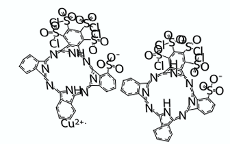 O=S(=O)([O-])c1cccc2c1-c1nc-2nc2[nH]c(nc3nc(nc4[nH]c(n1)c1c(S(=O)(=O)Cl)c(S(=O)(=O)Cl)c(S(=O)(=O)Cl)c(S(=O)(=O)Cl)c41)-c1ccccc1-3)c1ccccc21.O=S(=O)([O-])c1cccc2c1-c1nc-2nc2[nH]c(nc3nc(nc4[nH]c(n1)c1c(S(=O)(=O)Cl)c(S(=O)(=O)Cl)c(S(=O)(=O)Cl)c(S(=O)(=O)Cl)c41)-c1ccccc1-3)c1ccccc21.[Cu+2]